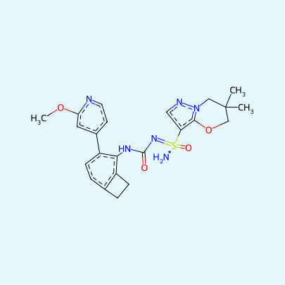 COc1cc(-c2ccc3c(c2NC(=O)N=[S@@](N)(=O)c2cnn4c2OCC(C)(C)C4)CC3)ccn1